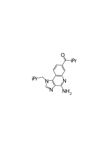 CC(C)Cn1cnc2c(N)nc3cc(C(=O)C(C)C)ccc3c21